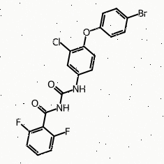 O=C(NC(=O)c1c(F)cccc1F)Nc1ccc(Oc2ccc(Br)cc2)c(Cl)c1